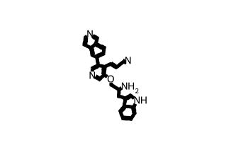 N#CC=Cc1c(OCC(N)Cc2c[nH]c3ccccc23)cncc1-c1ccc2cnccc2c1